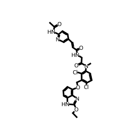 CCOc1nc2c(OCc3c(Cl)ccc(N(C)C(=O)CNC(=O)C=Cc4ccc(NC(C)=O)nc4)c3Cl)cccc2[nH]1